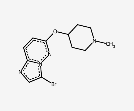 CN1CCC(Oc2ccc3ncc(Br)n3n2)CC1